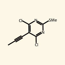 CC#Cc1c(Cl)nc(SC)nc1Cl